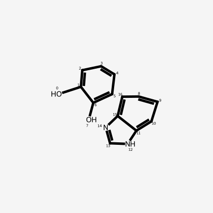 Oc1ccccc1O.c1ccc2[nH]cnc2c1